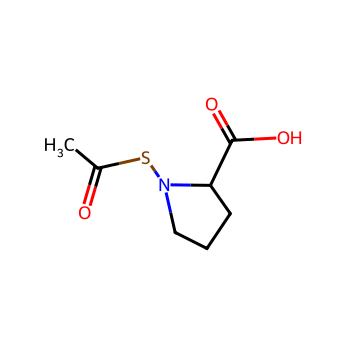 CC(=O)SN1CCCC1C(=O)O